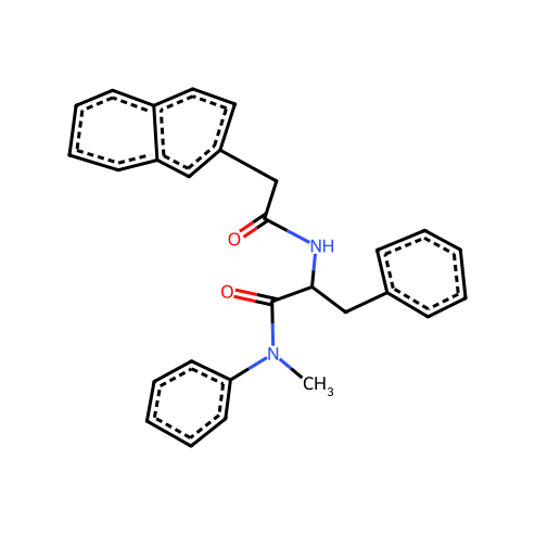 CN(C(=O)C(Cc1ccccc1)NC(=O)Cc1ccc2ccccc2c1)c1ccccc1